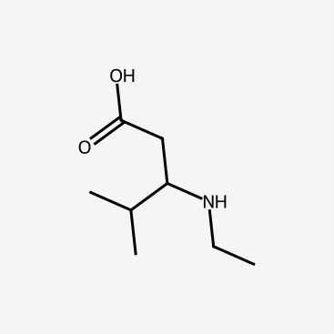 CCNC(CC(=O)O)C(C)C